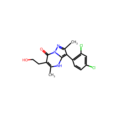 Cc1nn2c(=O)c(CCO)c(C)[nH]c2c1-c1ccc(Cl)cc1Cl